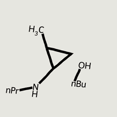 CCCCO.CCCNC1CC1C